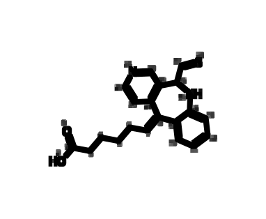 O=C(O)CCCCC=C1c2ccccc2NC(C=S)c2cnccc21